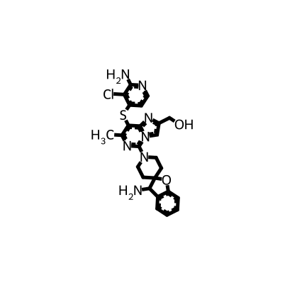 Cc1nc(N2CCC3(CC2)Oc2ccccc2C3N)n2cc(CO)nc2c1Sc1ccnc(N)c1Cl